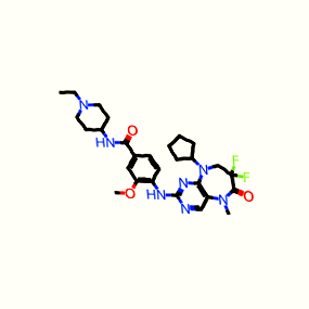 CCN1CCC(NC(=O)c2ccc(Nc3ncc4c(n3)N(C3CCCC3)CC(F)(F)C(=O)N4C)c(OC)c2)CC1